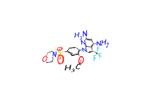 COc1cc(S(=O)(=O)N2CCOCC2)ccc1-n1cc(C(F)(F)F)c2c(N)cc(N)nc21